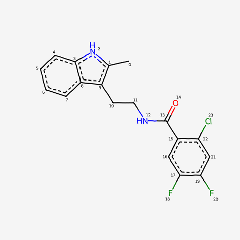 Cc1[nH]c2ccccc2c1CCNC(=O)c1cc(F)c(F)cc1Cl